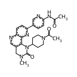 CC(=O)Nc1ccc(-c2ccc3ncc4c(c3n2)N(C2CCN(C(C)=O)CC2)C(=O)N(C)C4)cn1